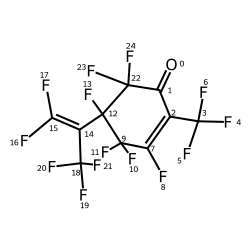 O=C1C(C(F)(F)F)=C(F)C(F)(F)C(F)(C(=C(F)F)C(F)(F)F)C1(F)F